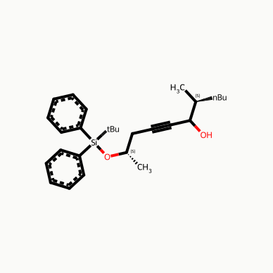 CCCC[C@H](C)C(O)C#CC[C@H](C)O[Si](c1ccccc1)(c1ccccc1)C(C)(C)C